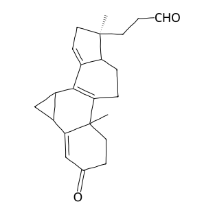 CC12CCC(=O)C=C1C1CC1C1=C2CCC2C1=CC[C@@]2(C)CCC=O